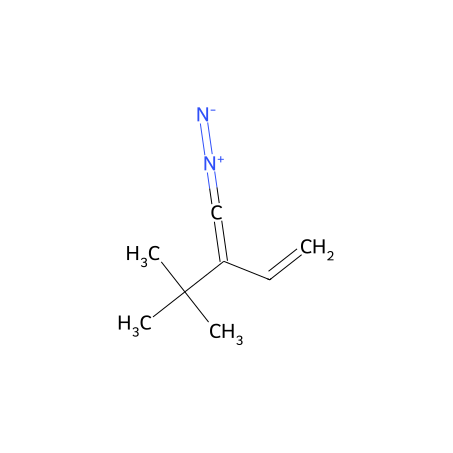 C=CC(=C=[N+]=[N-])C(C)(C)C